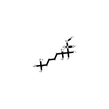 O=S(=O)(OF)C(F)(F)C(F)(F)CCCCC(F)(F)F